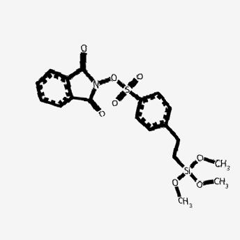 CO[Si](CCc1ccc(S(=O)(=O)ON2C(=O)c3ccccc3C2=O)cc1)(OC)OC